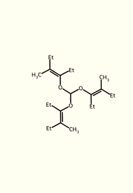 CC/C(C)=C(\CC)OC(O/C(CC)=C(\C)CC)O/C(CC)=C(\C)CC